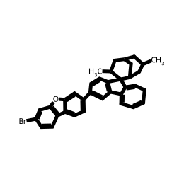 CC1CC2CC(C)C3(C4=CCC=CC=C4c4cc(-c5ccc6c(c5)oc5cc(Br)ccc56)ccc43)C(C1)C2